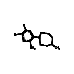 CN1CCCN(c2cc(F)c(Br)cc2N)CC1